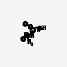 Cc1c(C(=O)N2CCN(Cc3c[nH]cn3)c3ccc(-c4ccccc4)cc3C2)cnn1-c1ccccc1